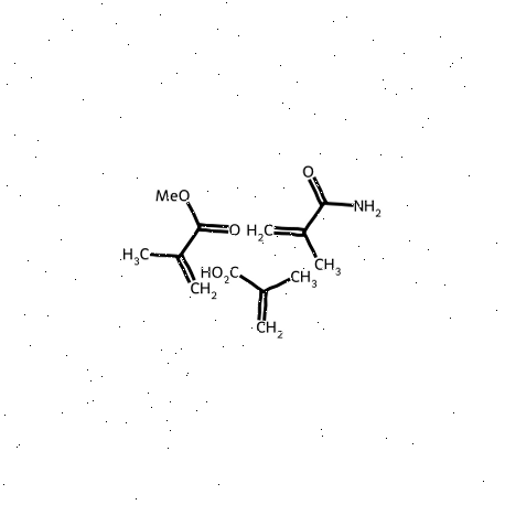 C=C(C)C(=O)O.C=C(C)C(=O)OC.C=C(C)C(N)=O